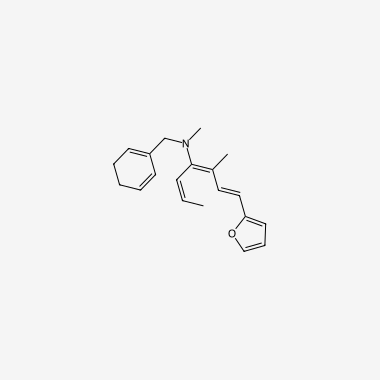 C\C=C/C(=C(C)\C=C\c1ccco1)N(C)CC1=CCCC=C1